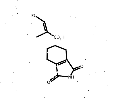 CCC=C(C)C(=O)O.O=C1NC(=O)C2=C1CCCC2